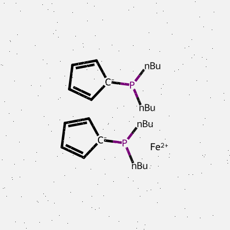 CCCCP(CCCC)[c-]1cccc1.CCCCP(CCCC)[c-]1cccc1.[Fe+2]